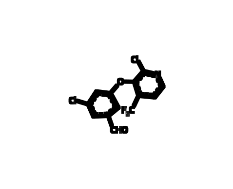 O=Cc1cc(Cl)cc(Oc2c(C(F)(F)F)ccnc2Cl)c1